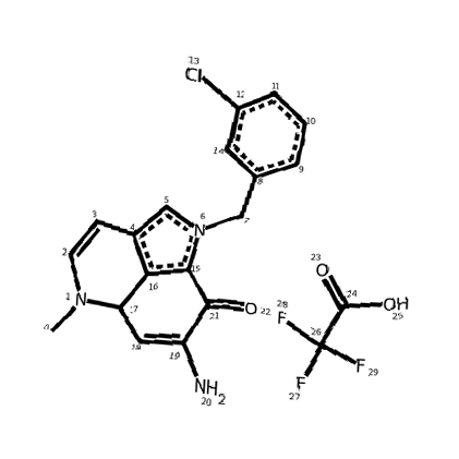 CN1C=Cc2cn(Cc3cccc(Cl)c3)c3c2C1C=C(N)C3=O.O=C(O)C(F)(F)F